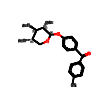 CC(=O)O[C@@H]1[C@@H](Oc2ccc(C(=O)c3ccc(C#N)cc3)cc2)OC[C@H](OC(C)=O)[C@H]1OC(C)=O